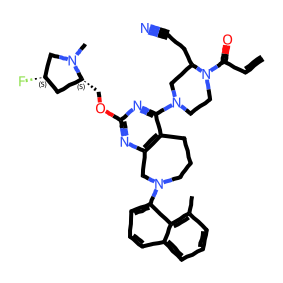 C=CC(=O)N1CCN(c2nc(OC[C@@H]3C[C@H](F)CN3C)nc3c2CCCN(c2cccc4cccc(C)c24)C3)CC1CC#N